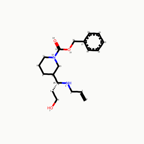 C=CCN[C@H](CCO)C1CCCN(C(=O)OCc2ccccc2)C1